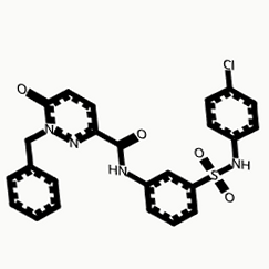 O=C(Nc1cccc(S(=O)(=O)Nc2ccc(Cl)cc2)c1)c1ccc(=O)n(Cc2ccccc2)n1